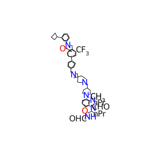 CCCC(C(=O)NC=O)N(C=O)c1cccc(N2CCC(CN3CCC4(CC3)CN(Cc3ccc(-c5cc6c(c(C(F)(F)F)c5)CN(c5cccc(C7CCC7)c5)C6=O)cc3)C4)CC2)c1N(C)C(C)C